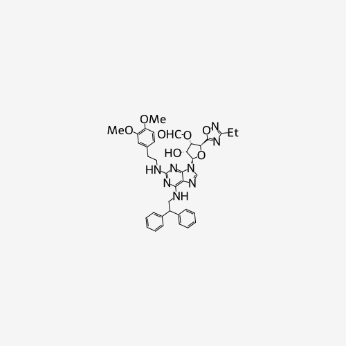 CCc1noc([C@H]2O[C@@H](n3cnc4c(NCC(c5ccccc5)c5ccccc5)nc(NCCc5ccc(OC)c(OC)c5)nc43)[C@H](O)[C@@H]2OC=O)n1